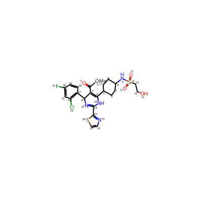 COC(=O)C1=C(C2CCC(NS(=O)(=O)CCO)CC2)NC(c2nccs2)=NC1c1ccc(F)cc1Cl